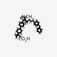 Cc1noc(-c2ccc(-c3ccc(C4(CC(=O)O)CC4)cc3)cc2)c1C(O)CCCc1ccc(Cc2ccccc2)cc1